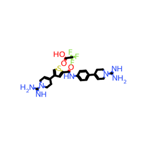 N=C(N)N1CC=C(c2ccc(NC(=O)c3cc(C4=CCN(C(=N)N)CC4)cs3)cc2)CC1.O=C(O)C(F)(F)F